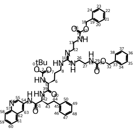 CC(C)(C)OC(=O)N[C@@H](CCCN/C(=N/CCNC(=O)OCc1ccccc1)NCCNC(=O)OCc1ccccc1)C(=O)N[C@@H](CCc1ccccc1)C(=O)Nc1cnc2ccccc2c1